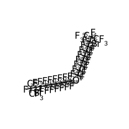 FC(F)(F)C(F)(C(F)(F)F)C(F)(Br)C(F)(F)C(F)(F)C(F)(F)C(F)(F)C(F)(F)C(F)(F)C(F)(F)OC(F)(F)C(F)(F)C(F)(F)C(F)(F)C(F)(F)C(F)(F)C(F)(F)C(F)(Br)C(F)(C(F)(F)F)C(F)(F)F